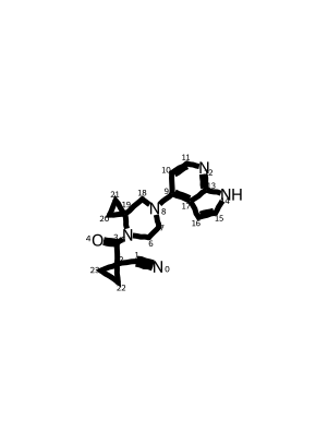 N#CC1(C(=O)N2CCN(c3ccnc4[nH]ccc34)CC23CC3)CC1